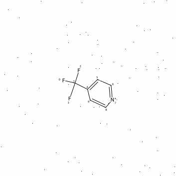 FC(F)(F)C1=CC=[N+]C=C1